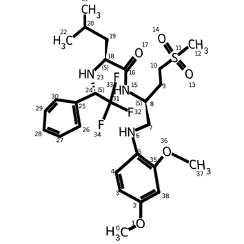 COc1ccc(NC[C@H](CCS(C)(=O)=O)NC(=O)[C@H](CC(C)C)N[C@@H](c2ccccc2)C(F)(F)F)c(OC)c1